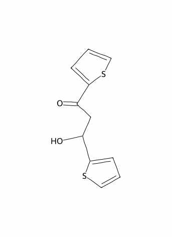 O=C(CC(O)c1cccs1)c1cccs1